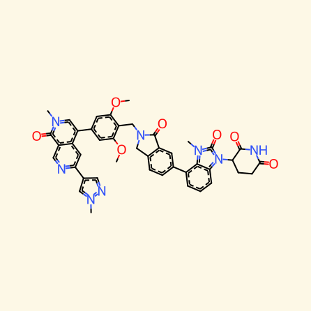 COc1cc(-c2cn(C)c(=O)c3cnc(-c4cnn(C)c4)cc23)cc(OC)c1CN1Cc2ccc(-c3cccc4c3n(C)c(=O)n4C3CCC(=O)NC3=O)cc2C1=O